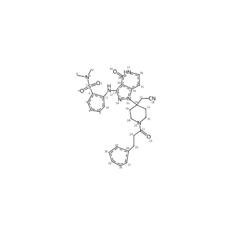 CN(C)S(=O)(=O)c1ccccc1Nc1nn(C2(CC#N)CCN(C(=O)CCc3ccccc3)CC2)c2cc[nH]c(=O)c12